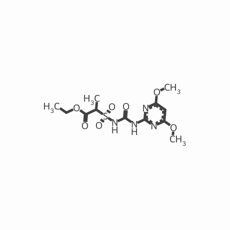 CCOC(=O)C(C)S(=O)(=O)NC(=O)Nc1nc(OC)cc(OC)n1